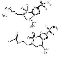 CCCN[C@H]1CN(CCCOC(C)=O)S(=O)(=O)c2sc(S(N)(=O)=O)cc21.CCNC1CN(CCOC(=O)C(C)C)S(=O)(=O)c2sc(S(N)(=O)=O)cc21.Cl